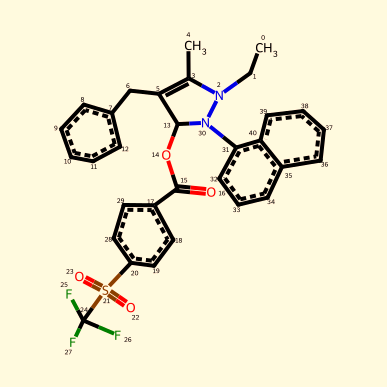 CCN1C(C)=C(Cc2ccccc2)C(OC(=O)c2ccc(S(=O)(=O)C(F)(F)F)cc2)N1c1cccc2ccccc12